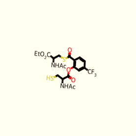 CCOC(=O)C(CSC(=O)c1ccc(C(F)(F)F)cc1OC(=O)C(CS)NC(C)=O)NC(C)=O